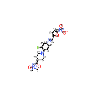 C[N+]1([O-])COC(C2CCN(c3ccc(N=Cc4ccc([N+](=O)[O-])o4)cc3F)CC2)=N1